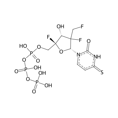 O=c1[nH]c(=S)ccn1[C@@H]1O[C@](F)(COP(=O)(O)OP(=O)(O)OP(=O)(O)O)[C@H](O)C1(F)CF